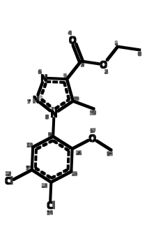 CCOC(=O)c1nnn(-c2cc(Cl)c(Cl)cc2OC)c1C